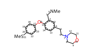 CNCc1cc(CCN2CCOCC2)ccc1Oc1ccc(SC)cc1